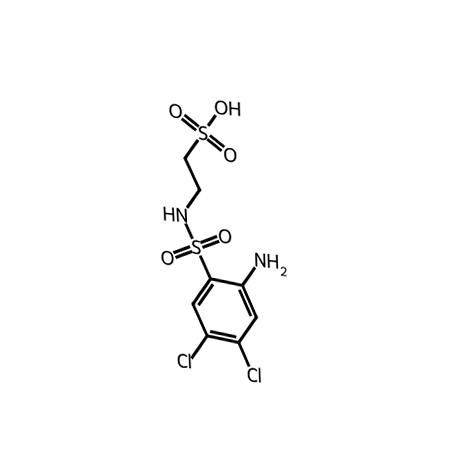 Nc1cc(Cl)c(Cl)cc1S(=O)(=O)NCCS(=O)(=O)O